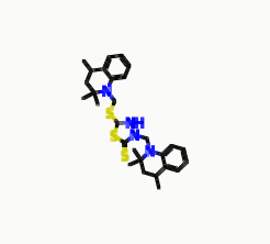 CC1CC(C)(C)N(CSC2NN(CN3c4ccccc4C(C)CC3(C)C)C(=S)S2)c2ccccc21